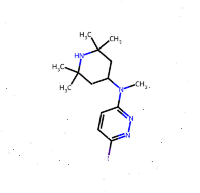 CN(c1ccc(I)nn1)C1CC(C)(C)NC(C)(C)C1